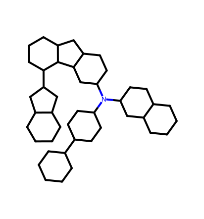 C1CCC(C2CCC(N(C3CCC4CCCCC4C3)C3CCC4CC5CCCC(C6CC7CCCCC7C6)C5C4C3)CC2)CC1